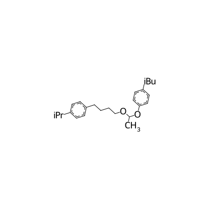 CCC(C)c1ccc(OC(C)OCCCCc2ccc(C(C)C)cc2)cc1